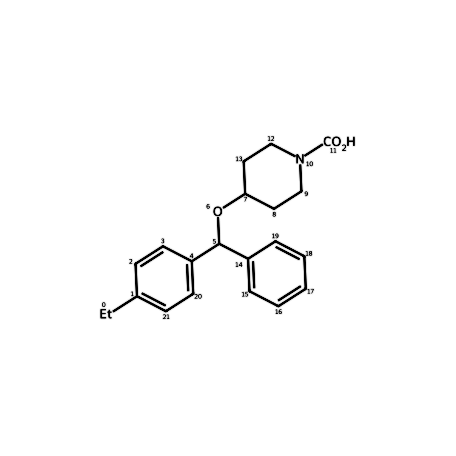 CCc1ccc(C(OC2CCN(C(=O)O)CC2)c2ccccc2)cc1